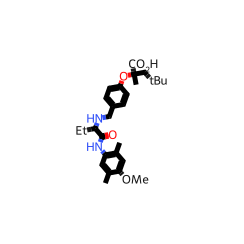 CCC(NCc1ccc(OC(C)(CC(C)(C)C)C(=O)O)cc1)C(=O)Nc1cc(C)c(OC)cc1C